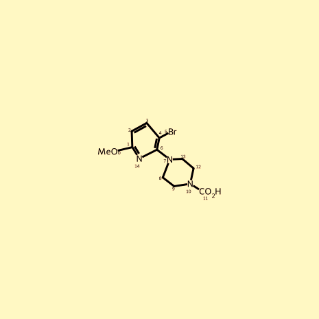 COc1ccc(Br)c(N2CCN(C(=O)O)CC2)n1